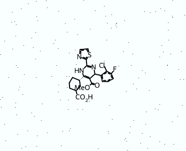 COC(=O)C1=C([C@H]2CCCC(C(=O)O)C2)NC(c2nccs2)=NC1c1cccc(F)c1Cl